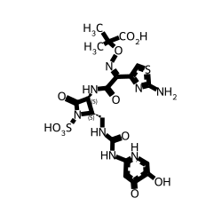 CC(C)(ON=C(C(=O)N[C@@H]1C(=O)N(S(=O)(=O)O)[C@H]1CNC(=O)Nc1cc(=O)c(O)c[nH]1)c1csc(N)n1)C(=O)O